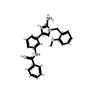 COc1ccccc1Cn1cc(-c2cccc(NC(=O)c3ccccc3)c2)nc1N